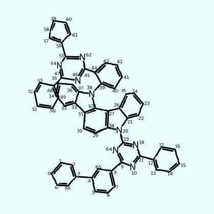 c1ccc(-c2cccc(-c3nc(-c4ccccc4)nc(-n4c5ccccc5c5c4ccc4c6ccccc6n(-c6ccccc6-c6nc(-c7ccccc7)nc(-c7ccccc7)n6)c45)n3)c2)cc1